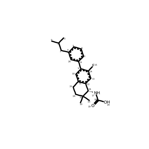 CC(C)Cc1cccc(-c2cc3c(cc2F)[C@H](NC(=O)O)C(C)(C)CC3)c1